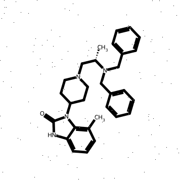 Cc1cccc2[nH]c(=O)n(C3CCN(C[C@H](C)N(Cc4ccccc4)Cc4ccccc4)CC3)c12